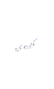 C=CC(=O)N1CC(Oc2cc3c(Nc4ccc(Oc5ccnc(-c6ccc(C)nc6)c5)cc4F)ncnc3cc2OC)C1